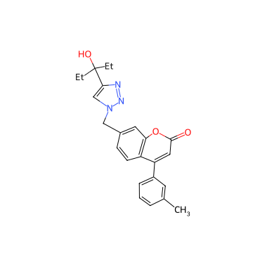 CCC(O)(CC)c1cn(Cc2ccc3c(-c4cccc(C)c4)cc(=O)oc3c2)nn1